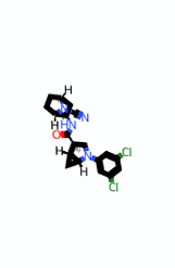 N#CN1[C@H]2CC[C@@H]1[C@H](NC(=O)[C@H]1CN(c3cc(Cl)cc(Cl)c3)[C@@H]3C[C@H]13)C2